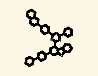 c1ccc(-c2ccc(-c3cc(-c4nc(-c5ccccc5)nc(-c5ccc(-c6ccc7ccccc7c6)cc5)n4)c4c(c3)oc3ccccc34)cc2)cc1